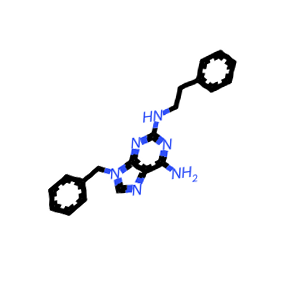 Nc1nc(NCCc2ccccc2)nc2c1ncn2Cc1ccccc1